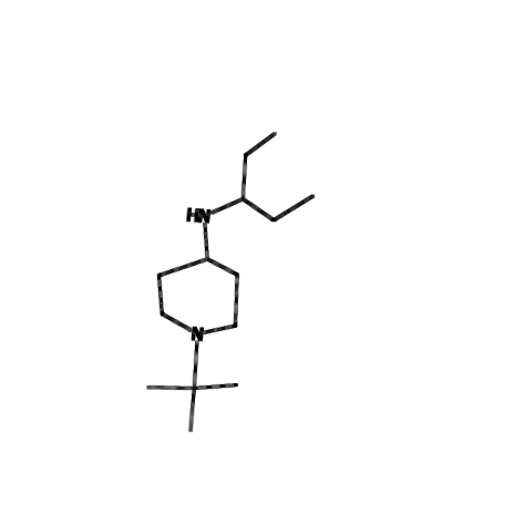 CCC(CC)NC1CCN(C(C)(C)C)CC1